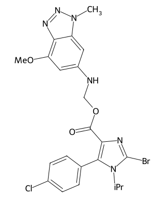 COc1cc(NCOC(=O)c2nc(Br)n(C(C)C)c2-c2ccc(Cl)cc2)cc2c1nnn2C